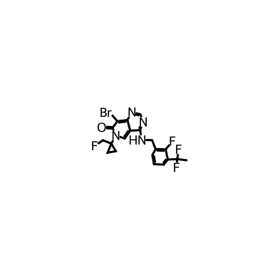 CC(F)(F)c1cccc(CNc2ncnc3c(Br)c(=O)n(C4(CF)CC4)cc23)c1F